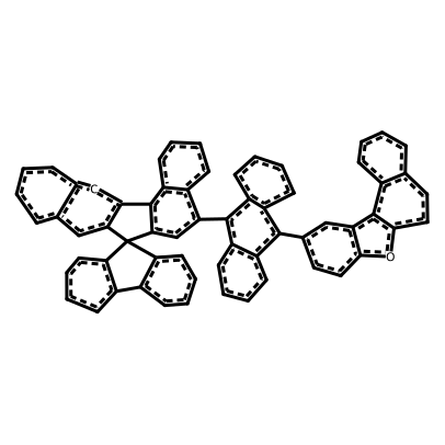 c1ccc2c(c1)-c1ccccc1C21c2cc3ccccc3cc2-c2c1cc(-c1c3ccccc3c(-c3ccc4oc5ccc6ccccc6c5c4c3)c3ccccc13)c1ccccc21